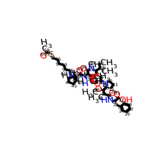 CC[C@H](C)[C@@H]([C@@H](CC(=O)N1CCC[C@H]1[C@H](OC)[C@@H](C)C(=O)N[C@@H](Cc1ccccc1)C(=O)O)OC)N(C)C(=O)[C@@H](NC(=O)[C@@H]1[C@H]2CC[C@@H]([C@H]2C)N1CCCCCCSC(C)=O)C(C)C